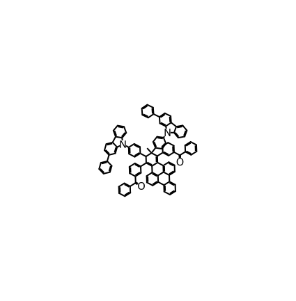 CC1(c2ccc(-n3c4ccccc4c4ccc(-c5ccccc5)cc43)cc2)C(C2=CC(C(=O)c3ccccc3)=CCC2)=c2c(c3cccc4c5ccccc5c5cccc2c5c34)=C(c2cccc(C(=O)c3ccccc3)c2)C1c1ccc(-n2c3ccccc3c3ccc(-c4ccccc4)cc32)cc1